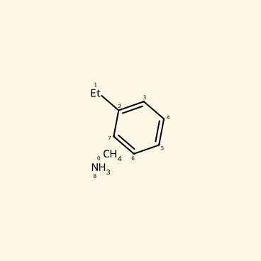 C.CCc1ccccc1.N